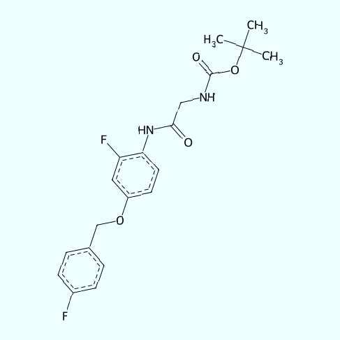 CC(C)(C)OC(=O)NCC(=O)Nc1ccc(OCc2ccc(F)cc2)cc1F